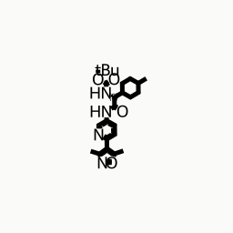 Cc1noc(C)c1-c1ccc(NC(=O)[C@@H](NC(=O)OC(C)(C)C)C2CCC(C)CC2)cn1